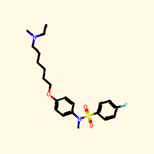 CCN(C)CCCCCCOc1ccc(N(C)S(=O)(=O)c2ccc(F)cc2)cc1